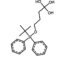 CC(C)(C)[Si](OCCCC(O)(O)O)(c1ccccc1)c1ccccc1